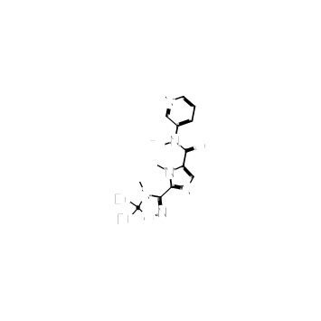 CCN(C(=O)c1cnc(C2=NOC(CC)(CC)N2C)n1C)c1cccnc1